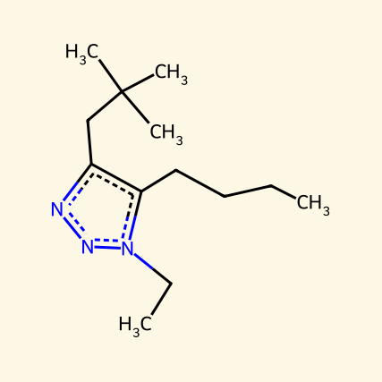 CCCCc1c(CC(C)(C)C)nnn1CC